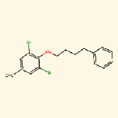 O=Cc1cc(Br)c(OCCCCc2ccccc2)c(Br)c1